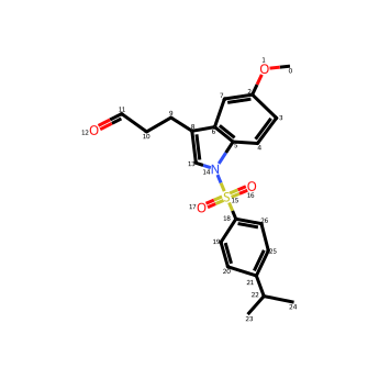 COc1ccc2c(c1)c(CCC=O)cn2S(=O)(=O)c1ccc(C(C)C)cc1